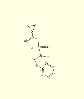 O=S(=O)(CC(O)C1CC1)N1CCc2ccccc2C1